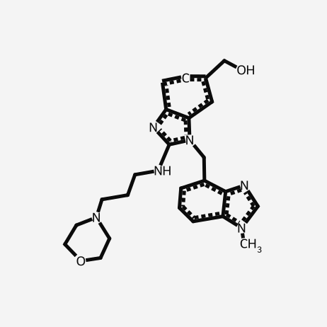 Cn1cnc2c(Cn3c(NCCCN4CCOCC4)nc4ccc(CO)cc43)cccc21